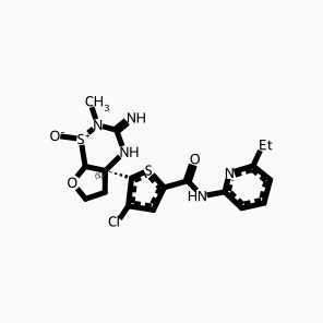 CCc1cccc(NC(=O)c2cc(Cl)c([C@]34CCOC3[S+]([O-])N(C)C(=N)N4)s2)n1